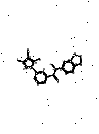 Cc1nn(-c2cccc(C(=O)N(C)c3ccc4c(c3)OCO4)n2)c(C)c1Cl